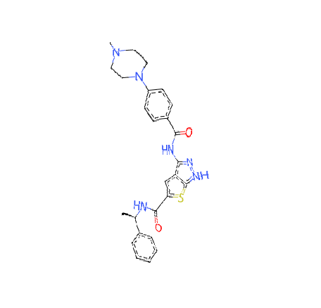 C[C@@H](NC(=O)c1cc2c(NC(=O)c3ccc(N4CCN(C)CC4)cc3)n[nH]c2s1)c1ccccc1